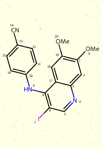 COc1cc2ncc(I)c(Nc3ccc(C#N)cc3)c2cc1OC